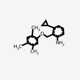 Cc1cc(C)c(OCc2c(N)cccc2C2CC2)cc1C